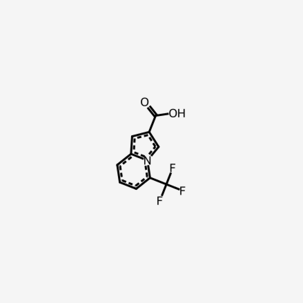 O=C(O)c1cc2cccc(C(F)(F)F)n2c1